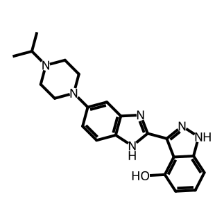 CC(C)N1CCN(c2ccc3[nH]c(-c4n[nH]c5cccc(O)c45)nc3c2)CC1